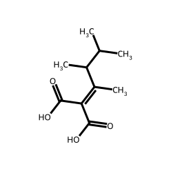 CC(=C(C(=O)O)C(=O)O)C(C)C(C)C